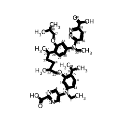 CCN(c1cnc(C(=O)O)nc1)c1ccc(C(C)C)c(OCC(C)CCC(C)c2ccc(N(CC)c3ccc(C(=O)O)nn3)cc2OCC(C)C)c1